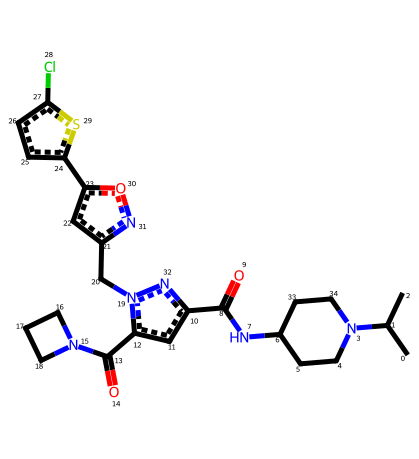 CC(C)N1CCC(NC(=O)c2cc(C(=O)N3CCC3)n(Cc3cc(-c4ccc(Cl)s4)on3)n2)CC1